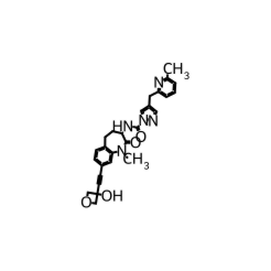 Cc1cccc(Cc2cnn(C(=O)N[C@H]3CCc4ccc(C#CC5(O)COC5)cc4N(C)C3=O)c2)n1